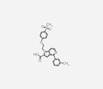 Cc1cccc(-c2nccc3c2cc(C(=O)O)n3CCOc2ccc(S(C)(=O)=O)cc2)c1